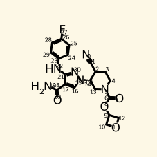 N#CC1CCN(C(=O)OC2COC2)C[C@H]1n1cc(C(N)=O)c(Nc2ccc(F)cc2)n1